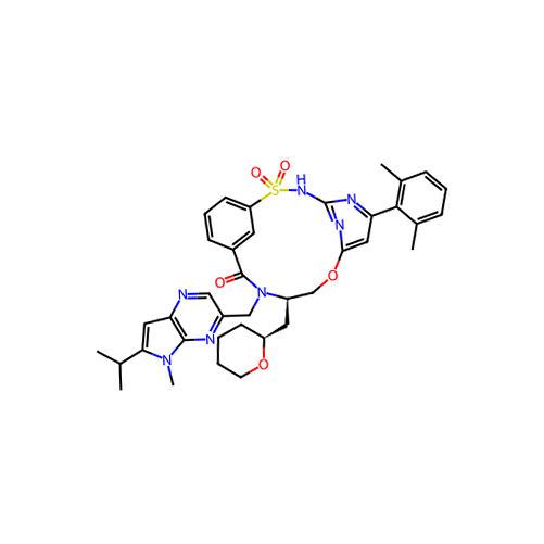 Cc1cccc(C)c1-c1cc2nc(n1)NS(=O)(=O)c1cccc(c1)C(=O)N(Cc1cnc3cc(C(C)C)n(C)c3n1)[C@H](C[C@@H]1CCCCO1)CO2